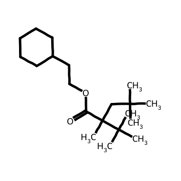 CC(C)(C)CC(C)(C(=O)OCCC1CCCCC1)C(C)(C)C